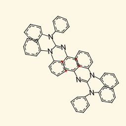 c1ccc(N(C(=Nc2ccc(N=C(N(c3ccccc3)c3ccccc3)N(c3ccccc3)c3ccccc3)cc2)N(c2ccccc2)c2ccccc2)c2ccccc2)cc1